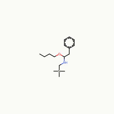 CCCCOC(Cc1ccccc1)NC[Si](C)(C)C